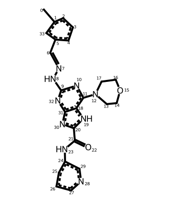 Cc1cccc(/C=N/Nc2nc(N3CCOCC3)c3[nH]c(C(=O)Nc4cccnc4)nc3n2)c1